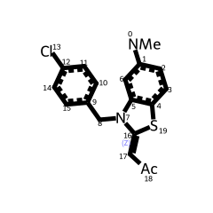 CNc1ccc2c(c1)N(Cc1ccc(Cl)cc1)/C(=C/C(C)=O)S2